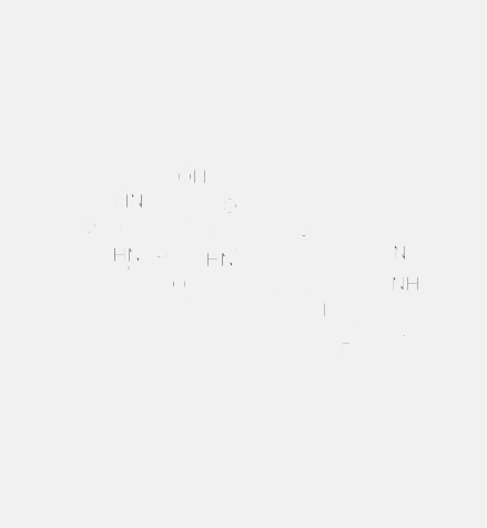 O=C(Nc1ccc(-c2cn[nH]c2C(F)(F)F)cc1)c1c(O)[nH]c(=O)[nH]c1=O